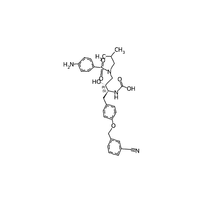 CC(C)CN(C[C@@H](O)[C@H](Cc1ccc(OCc2cccc(C#N)c2)cc1)NC(=O)O)S(=O)(=O)c1ccc(N)cc1